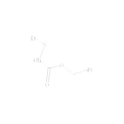 CCSNC(=O)OCC(C)C